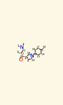 CC(=CN(C)C)C(=O)c1ccn(-c2ccc(C)cc2)c1